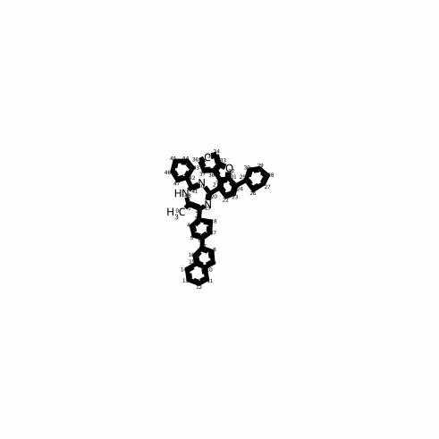 CC1=C(c2ccc(-c3ccc4ccccc4c3)cc2)N=C(c2ccc(-c3ccccc3)c3oc4ccccc4c23)N=C(c2ccccc2)N1